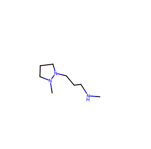 CNCCCN1CCCN1C